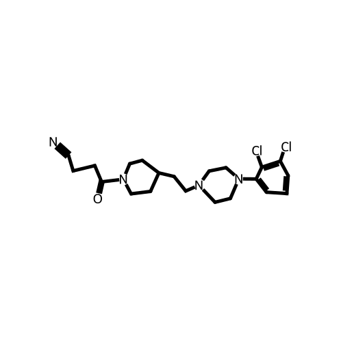 N#CCCC(=O)N1CCC(CCN2CCN(c3cccc(Cl)c3Cl)CC2)CC1